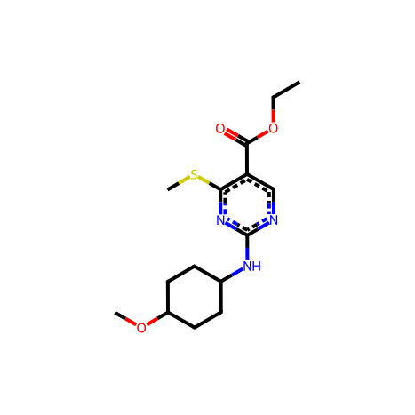 CCOC(=O)c1cnc(NC2CCC(OC)CC2)nc1SC